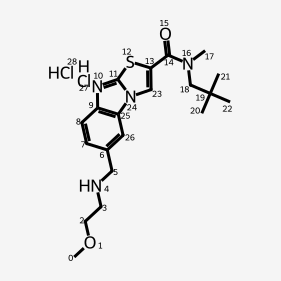 COCCNCc1ccc2nc3sc(C(=O)N(C)CC(C)(C)C)cn3c2c1.Cl.Cl